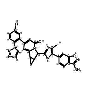 Nc1noc2cc(-c3[nH]c(C4C5CC5c5cc(-c6cc(Cl)ccc6-n6cnnn6)cc(=O)n54)nc3F)ccc12